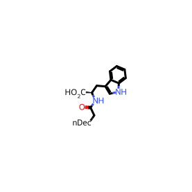 CCCCCCCCCCCC(=O)N[C@H](Cc1c[nH]c2ccccc12)C(=O)O